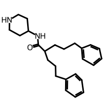 O=C(NC1CCNCC1)C(CCCc1ccccc1)CCCc1ccccc1